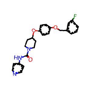 O=C(Nc1ccncc1)N1CCC(Oc2ccc(OCc3cccc(F)c3)cc2)CC1